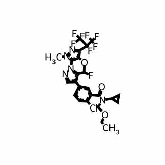 CCOCN(C(=O)c1cc(-c2cnn3c2C(F)Oc2c(C(F)(C(F)(F)F)C(F)(F)F)nn(C)c2-3)ccc1Cl)C1CC1